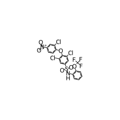 O=[N+]([O-])c1ccc(Oc2c(Cl)cc(S(=O)(=O)Nc3ccccc3OC(F)(F)F)cc2Cl)c(Cl)c1